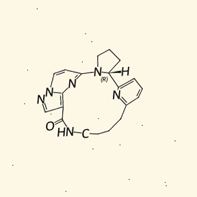 O=C1NCCCCc2cccc(n2)[C@H]2CCCN2c2ccn3ncc1c3n2